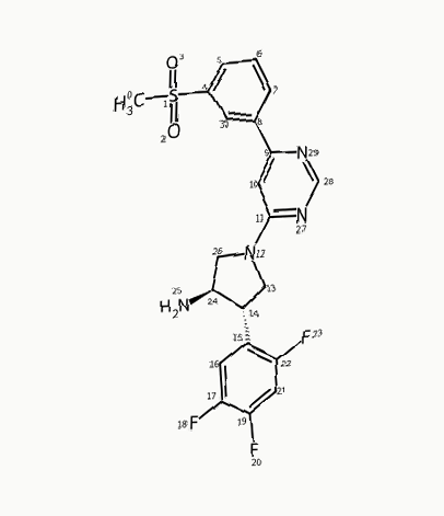 CS(=O)(=O)c1cccc(-c2cc(N3C[C@H](c4cc(F)c(F)cc4F)[C@@H](N)C3)ncn2)c1